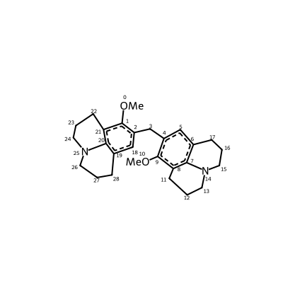 COc1c(Cc2cc3c4c(c2OC)CCCN4CCC3)cc2c3c1CCCN3CCC2